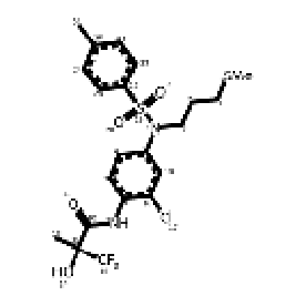 CSCCCN(c1ccc(NC(=O)[C@@](C)(O)C(F)(F)F)c(Cl)c1)S(=O)(=O)c1ccc(C)cc1